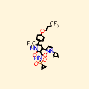 O=C1N[C@@](c2ccc(OCCCC(F)(F)F)cc2)(C(F)(F)F)CC(c2ccn(C3CCC3)n2)=C1C(=O)NS(=O)(=O)C1CC1